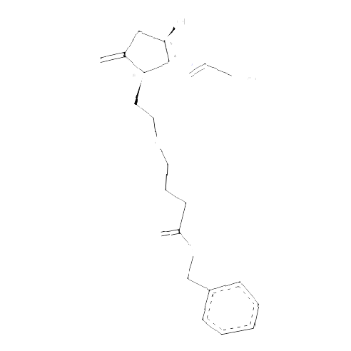 CCCCCC/C=C/[C@H]1[C@H](O)CC(=O)[C@@H]1CCCCCCC(=O)OCc1ccccc1